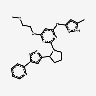 COCCOc1cc(Nc2cc(C)[nH]n2)nc(N2CCCC2c2cc(-c3ccccn3)no2)n1